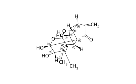 C=C1C(=O)[C@@]23[C@@H]4O[C@H]5O[C@@]2(O)[C@@H](O)[C@@H]2C(C)(C)CCC[C@]52[C@@H]3[C@@H](O)C[C@@H]14